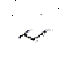 CC/C=C/CCCC(CCC/C=C/CC)OC(=O)CCCCCCCC(CC)CCCCCCCC(=O)OC/C=C/CCCCCC